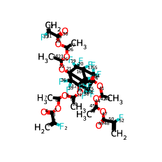 C=C(F)C(=O)OC(C)OC(C)OC12C(F)(F)C3(F)C(F)(F)C(OC(C)OC(C)OC(=O)C(=C)F)(C1(F)F)C(F)(F)C(OC(C)OC(C)OC(=O)C(=C)F)(C3(F)F)C2(F)F